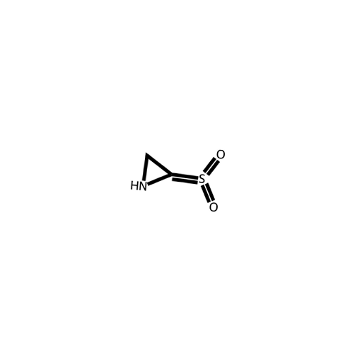 O=S(=O)=C1CN1